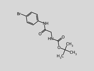 CC(C)(C)OC(=O)NCC(=O)Nc1ccc(Br)cc1